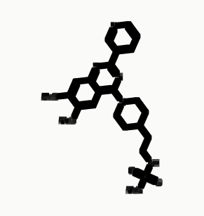 CNS(=O)(=O)NCCC1CCN(c2nc(-c3cccnc3)nc3cc(OC)c(OC)cc23)CC1